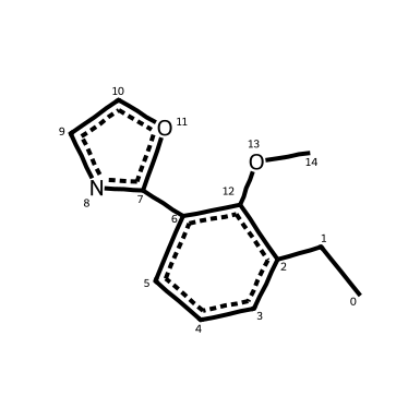 CCc1cccc(-c2ncco2)c1OC